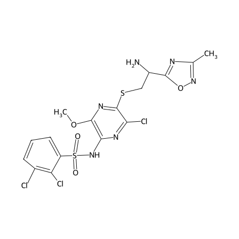 COc1nc(SCC(N)c2nc(C)no2)c(Cl)nc1NS(=O)(=O)c1cccc(Cl)c1Cl